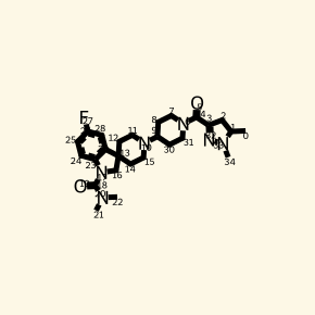 CC1CC(C(=O)N2CCC(N3CCC4(CC3)CN(C(=O)N(C)C)c3ccc(F)cc34)CC2)=NN1C